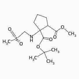 COC(=O)C1CCCC1(NCS(C)(=O)=O)C(=O)OC(C)(C)C